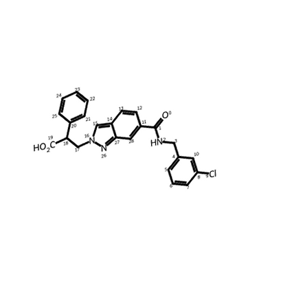 O=C(NCc1cccc(Cl)c1)c1ccc2cn(CC(C(=O)O)c3ccccc3)nc2c1